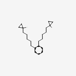 CC(=O)C1(CCCCCc2ccccc2CCCCCC2(C(=O)O)CC2)CC1